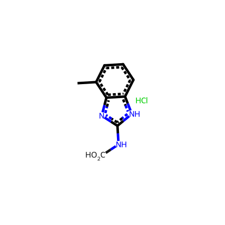 Cc1cccc2[nH]c(NC(=O)O)nc12.Cl